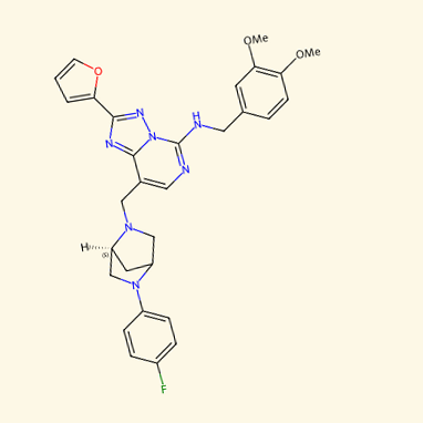 COc1ccc(CNc2ncc(CN3CC4C[C@H]3CN4c3ccc(F)cc3)c3nc(-c4ccco4)nn23)cc1OC